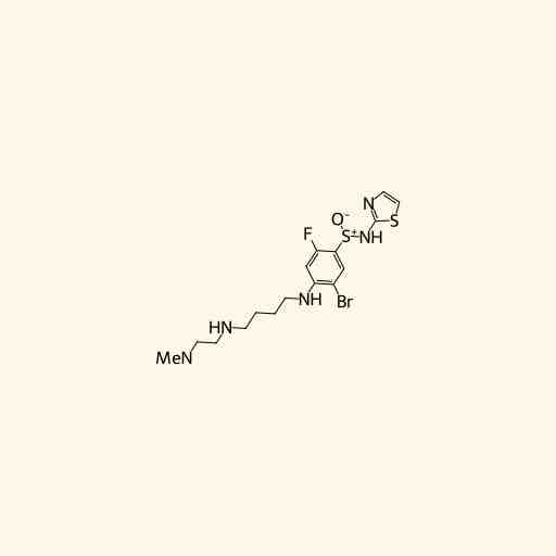 CNCCNCCCCNc1cc(F)c([S+]([O-])Nc2nccs2)cc1Br